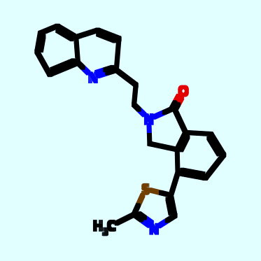 Cc1ncc(-c2cccc3c2CN(CCc2ccc4ccccc4n2)C3=O)s1